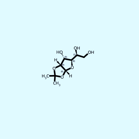 CC1(C)O[C@H]2O[C@H]([C@@H](O)CO)[C@@H](O)[C@H]2O1